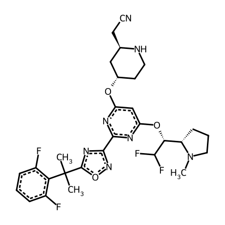 CN1CCC[C@H]1[C@@H](Oc1cc(O[C@H]2CCN[C@H](CC#N)C2)nc(-c2noc(C(C)(C)c3c(F)cccc3F)n2)n1)C(F)F